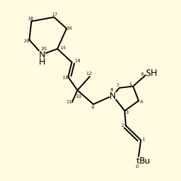 CC(C)(C)/C=C/C1CC(S)CN1CC(C)(C)/C=C/C1CCCCN1